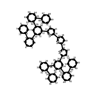 c1ccc(-c2ccccc2-c2cc(-c3ccc(-c4ccc(-c5ccc(-c6cc(-c7ccccc7-c7ccccc7)cc(-c7ccccc7-c7ccccc7)c6)s5)s4)s3)cc(-c3ccccc3-c3ccccc3)c2)cc1